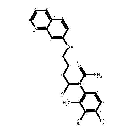 Cc1c(N(C(N)=O)C(CCCOc2ccc3cccnc3c2)C(C)C)ccc(C#N)c1Cl